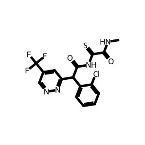 CNC(=O)C(=S)NC(=O)C(c1cc(C(F)(F)F)cnn1)c1ccccc1Cl